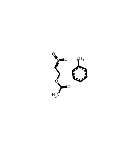 Cc1ccccc1.NC(=O)OCC=S(=O)=O